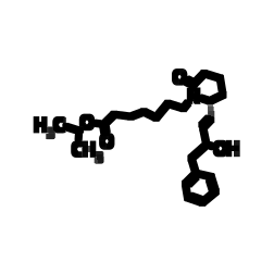 CC(C)OC(=O)CCCCCCN1C(=O)CCC[C@@H]1C=CC(O)Cc1ccccc1